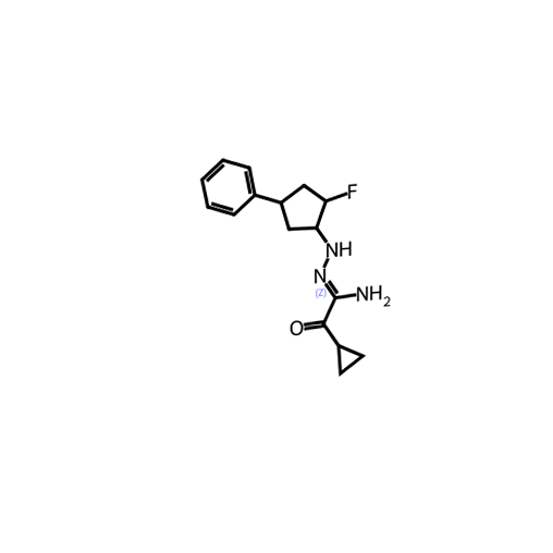 N/C(=N\NC1CC(c2ccccc2)CC1F)C(=O)C1CC1